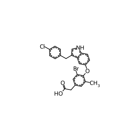 Cc1cc(CC(=O)O)cc(Br)c1Oc1ccc2[nH]cc(Cc3ccc(Cl)cc3)c2c1